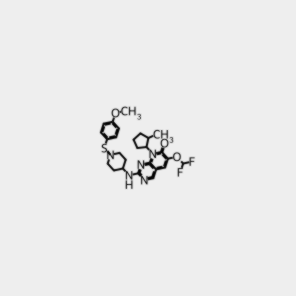 COc1ccc(SN2CCC(Nc3ncc4cc(OC(F)F)c(=O)n(C5CCCC5C)c4n3)CC2)cc1